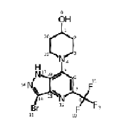 OC1CCN(c2cc(C(F)(F)F)nc3c(Br)n[nH]c23)CC1